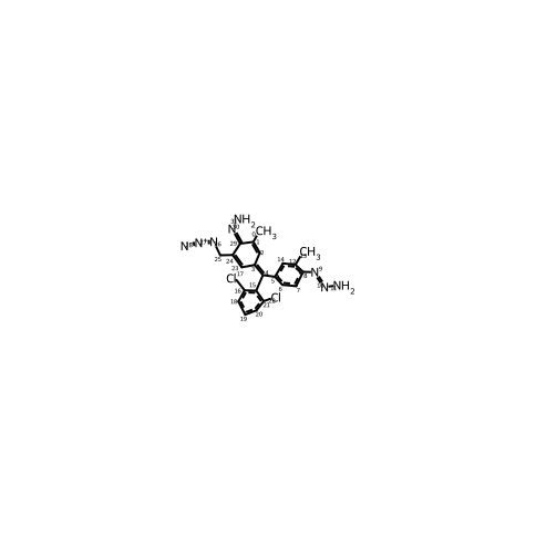 CC1=C/C(=C(\c2ccc(N=NN)c(C)c2)c2c(Cl)cccc2Cl)C=C(CN=[N+]=[N-])C1=NN